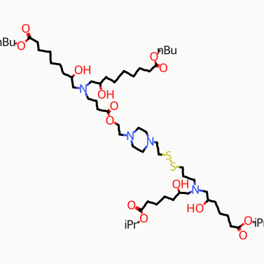 CCCCOC(=O)CCCCCCC(O)CN(CCCC(=O)OCCN1CCN(CCSSCCCN(CC(O)CCCCC(=O)OC(C)C)CC(O)CCCCC(=O)OC(C)C)CC1)CC(O)CCCCCCC(=O)OCCCC